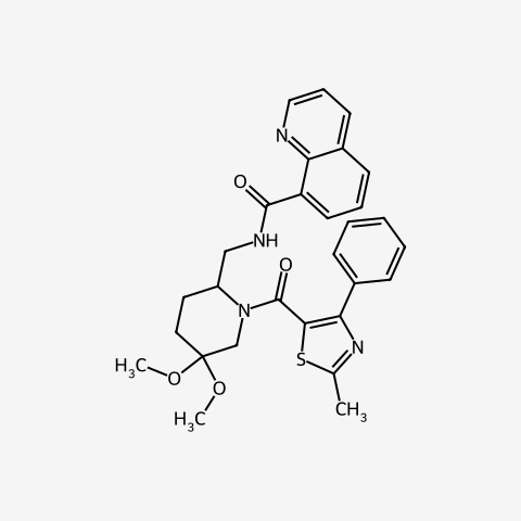 COC1(OC)CCC(CNC(=O)c2cccc3cccnc23)N(C(=O)c2sc(C)nc2-c2ccccc2)C1